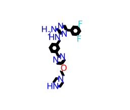 Nc1ncc(-c2cc(F)cc(F)c2)nc1NCc1cccc(-c2ncc(OCCN3CCNCC3)cn2)c1